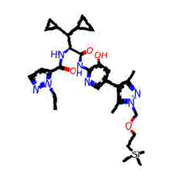 CCn1nccc1C(=O)N[C@H](C(=O)Nc1ncc(-c2c(C)nn(COCC[Si](C)(C)C)c2C)cc1O)C(C1CC1)C1CC1